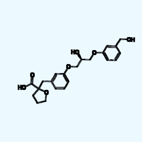 O=C(O)C1(Cc2cccc(OC[C@@H](O)COc3cccc(CO)c3)c2)CCCO1